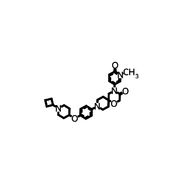 Cn1cc(N2CC3(CCN(c4ccc(OC5CCN(C6CCC6)CC5)cc4)CC3)OCC2=O)ccc1=O